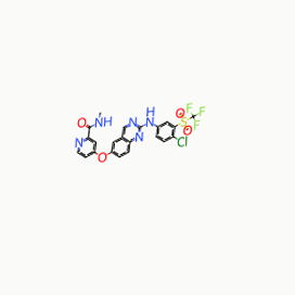 CNC(=O)c1cc(Oc2ccc3nc(Nc4ccc(Cl)c(S(=O)(=O)C(F)(F)F)c4)ncc3c2)ccn1